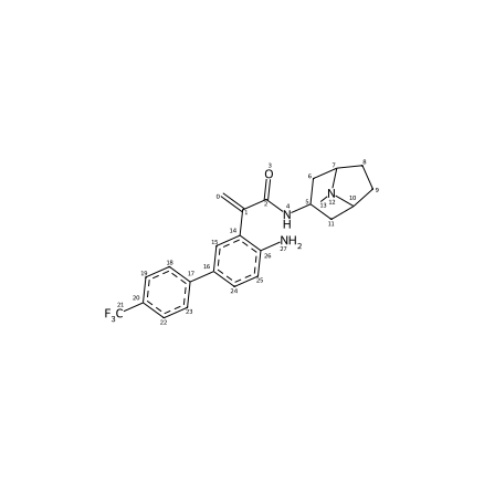 C=C(C(=O)NC1CC2CCC(C1)N2C)c1cc(-c2ccc(C(F)(F)F)cc2)ccc1N